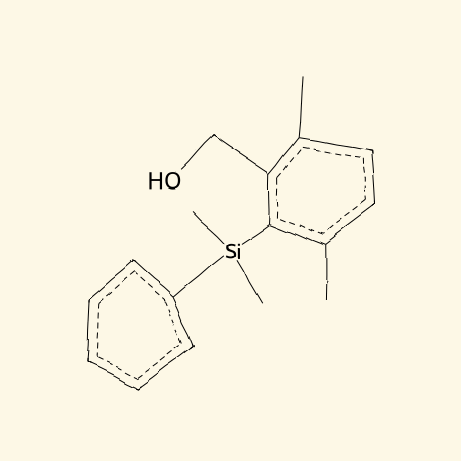 Cc1ccc(C)c([Si](C)(C)c2ccccc2)c1CO